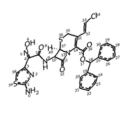 Nc1nc(/C(=N/O)C(=O)NC2C(=O)N3C(C(=O)OC(c4ccccc4)c4ccccc4)=C(/C=C/Cl)CS[C@H]23)cs1